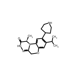 CC(C)c1cc2c(cc1C1CCNCC1)N1C(=NNC(=O)[C@H]1C)CO2